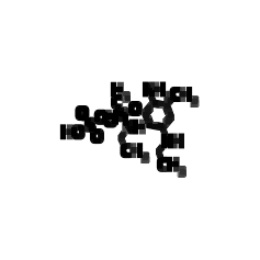 CCNS(C)(=O)=O.CCNc1ccc(N)c(C)c1.O=S(=O)(O)O